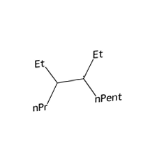 CCCCC[C](CC)C(CC)CCC